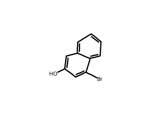 Oc1cc(Br)c2ccccc2c1